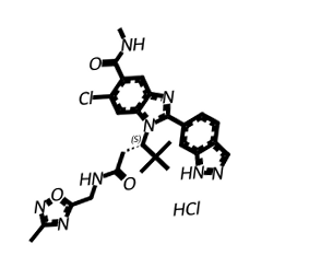 CNC(=O)c1cc2nc(-c3ccc4cn[nH]c4c3)n([C@@H](CC(=O)NCc3nc(C)no3)C(C)(C)C)c2cc1Cl.Cl